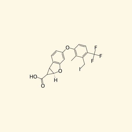 Cc1c(Oc2ccc3c(c2)O[C@H]2C(C(=O)O)C32)ccc(C(F)(F)F)c1CI